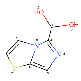 OC(O)c1ncc2sccn12